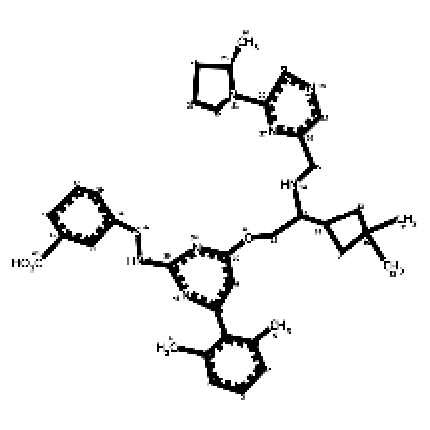 Cc1cccc(C)c1-c1cc(OCC(NCc2cncc(N3CCC[C@H]3C)n2)C2CC(C)(C)C2)nc(NSc2cccc(C(=O)O)c2)n1